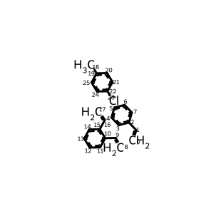 C=Cc1ccccc1.C=Cc1ccccc1C=C.Cc1ccc(Cl)cc1